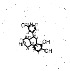 Oc1ccc2c(c1O)CC(c1ccnc(Cl)c1)C1CCNCC21